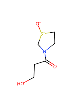 O=C(CCO)N1CC[S+]([O-])C1